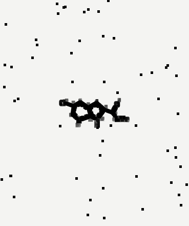 CNC(=O)c1cc2cc(Cl)cnc2[nH]1